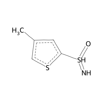 Cc1csc([SH](=N)=O)c1